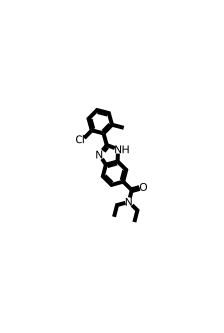 CCN(CC)C(=O)c1ccc2nc(-c3c(C)cccc3Cl)[nH]c2c1